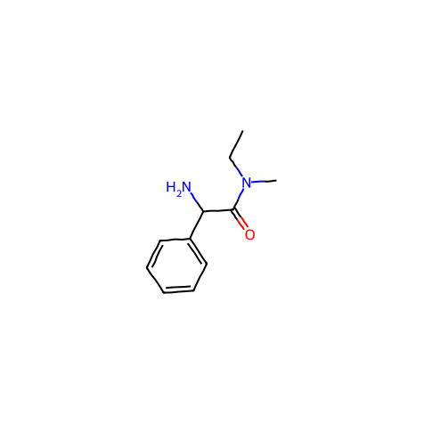 CCN(C)C(=O)C(N)c1ccccc1